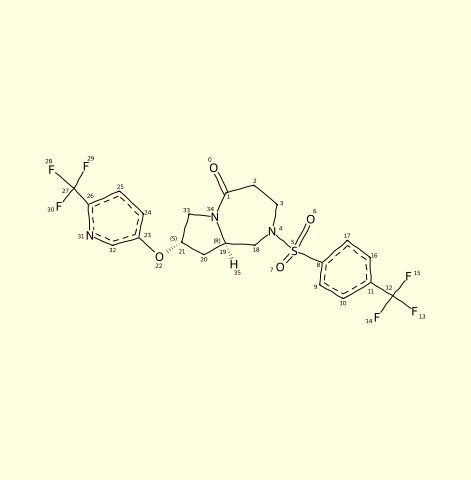 O=C1CCN(S(=O)(=O)c2ccc(C(F)(F)F)cc2)C[C@H]2C[C@H](Oc3ccc(C(F)(F)F)nc3)CN12